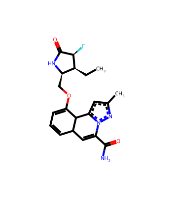 CC[C@@H]1[C@H](F)C(=O)N[C@@H]1COC1=CC=CC2C=C(C(N)=O)n3nc(C)cc3C12